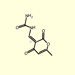 CC1=CC(=O)/C(=C/NC(N)=O)C(=O)O1